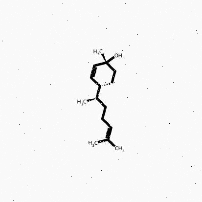 CC(C)=CCC[C@@H](C)[C@@H]1C=C[C@](C)(O)CC1